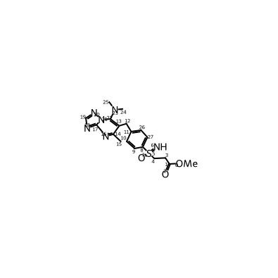 COC(=O)CCS(=N)(=O)c1ccc(Cc2c(C)nc3ncnn3c2N(C)C)cc1